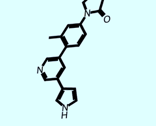 Cc1cc(N2CCCC2=O)ccc1-c1cncc(-c2cc[nH]c2)c1